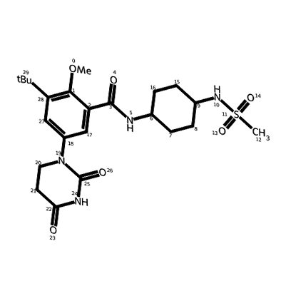 COc1c(C(=O)NC2CCC(NS(C)(=O)=O)CC2)cc(N2CCC(=O)NC2=O)cc1C(C)(C)C